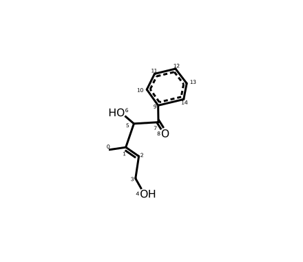 CC(=CCO)C(O)C(=O)c1ccccc1